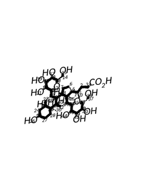 C[C@H](CCC(=O)O)[C@H]1CC[C@H]2[C@@H]3[C@@H]([C@@H]4O[C@H](CO)[C@@H](O)[C@H](O)[C@H]4O)C[C@@H]4C[C@H](O)CC[C@]4(C)[C@H]3C[C@@H]([C@@H]3O[C@H](CO)[C@@H](O)[C@H](O)[C@H]3O)[C@]12C